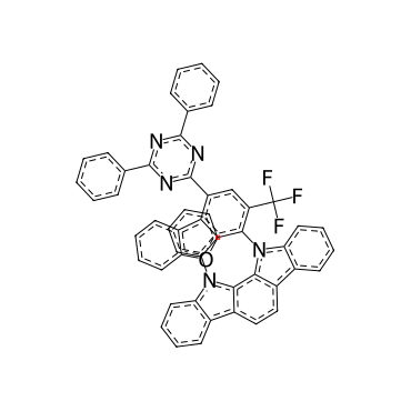 FC(F)(F)c1cc(-c2nc(-c3ccccc3)nc(-c3ccccc3)n2)c2c(oc3ccccc32)c1-n1c2ccccc2c2ccc3c4ccccc4n(-c4ccccc4)c3c21